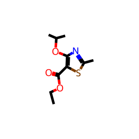 CCOC(=O)c1sc(C)nc1OC(C)C